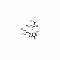 CCC(=O)O.CCC(=O)O.Nc1nc2c(ncn2CC(CO)CCO)c(=O)[nH]1